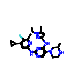 CCn1nc(Nc2nc(Nc3cc(C4CC4)c(F)c(C)n3)ncc2N2CCNC(C)C2)cc1C